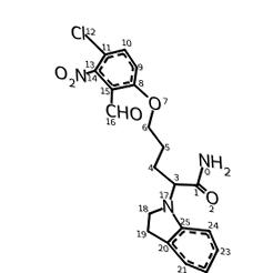 NC(=O)C(CCCOc1ccc(Cl)c([N+](=O)[O-])c1C=O)N1CCc2ccccc21